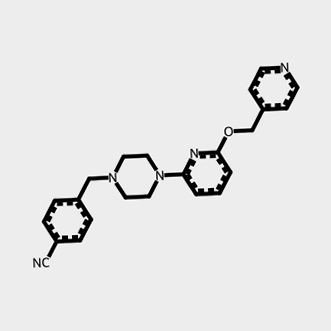 N#Cc1ccc(CN2CCN(c3cccc(OCc4ccncc4)n3)CC2)cc1